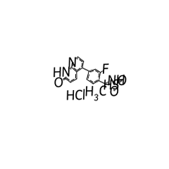 C[C@@H](N[SH](=O)=O)c1ccc(-c2ccnc3[nH]c(=O)ccc23)cc1F.Cl